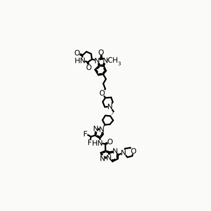 Cn1c(=O)n(C2CCC(=O)NC2=O)c2ccc(CCCOC3CCN(C[C@H]4CC[C@H](n5cc(NC(=O)c6cnn7ccc(N8CCOCC8)nc67)c(C(F)F)n5)CC4)CC3)cc21